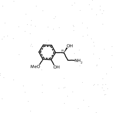 COc1cccc([C@@H](O)CN)c1O